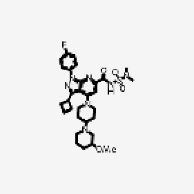 COC1CCCN(C2CCN(c3cc(C(=O)NS(=O)(=O)N(C)C)nc4c3c(C3CCC3)nn4-c3ccc(F)cc3)CC2)C1